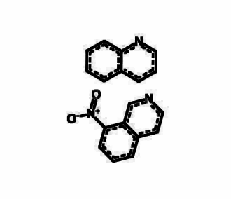 O=[N+]([O-])c1cccc2ccncc12.c1ccc2ncccc2c1